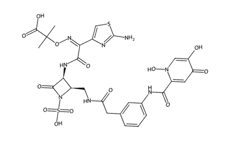 CC(C)(O/N=C(\C(=O)N[C@@H]1C(=O)N(S(=O)(=O)O)[C@@H]1CNC(=O)Cc1cccc(NC(=O)c2cc(=O)c(O)cn2O)c1)c1csc(N)n1)C(=O)O